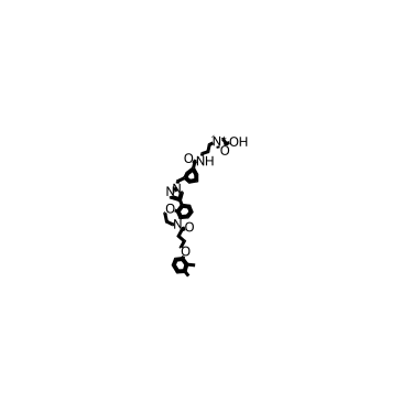 Cc1cccc(OCCCC(=O)N2CCCOc3c(-c4cnn(Cc5cccc(C(=O)NCCC[N+](C)(C)CC(=O)O)c5)c4)cccc32)c1C